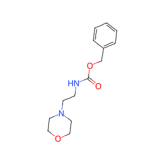 O=C(NCCN1CCOCC1)OCc1ccccc1